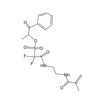 C=C(C)C(=O)NCCNC(=O)C(F)(F)S(=O)(=O)OC(C)C(=O)c1ccccc1